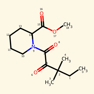 CCC(C)(C)C(=O)C(=O)N1CCCCC1C(=O)OC